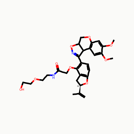 C=C(C)[C@H]1Cc2c(ccc(C3=NOC4COc5cc(OC)c(OC)cc5C34)c2OCC(=O)NCCOCCO)O1